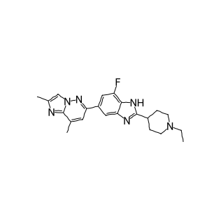 CCN1CCC(c2nc3cc(-c4cc(C)c5nc(C)cn5n4)cc(F)c3[nH]2)CC1